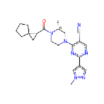 C[C@@H]1CN(c2nc(-c3cnn(C)c3)ncc2C#N)CCN1C(=O)C1CC12CCCC2